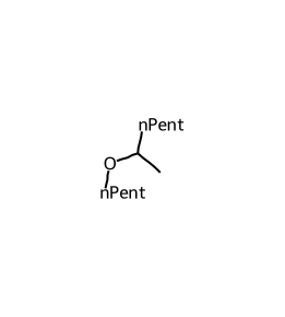 CCCCCOC(C)CCCCC